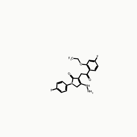 NNC1=C(CC(=O)c2ccc(F)cc2OCC(F)(F)F)C(=O)N(c2ccc(F)cc2)C1